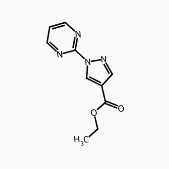 CCOC(=O)c1cnn(-c2ncccn2)c1